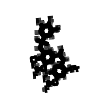 CC(C)c1cc(OC(F)F)c(F)cc1CC(C)c1cc(CC(C)(C)c2cc(F)c(F)c(F)c2)c(Cl)c(OC(F)F)c1